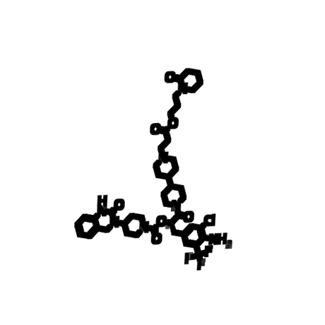 Nc1c(Cl)cc(C[C@@H](OC(=O)N2CCC(N3Cc4ccccc4NC3=O)CC2)C(=O)N2CCC(C3CCN(CCC(=O)OCCCN4CCCCC4=O)CC3)CC2)cc1C(F)(F)F